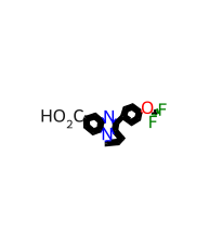 O=C(O)c1ccc2c(c1)nc(-c1ccc(OC(F)F)cc1)c1cccn12